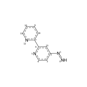 N=Nc1ccnc(-c2ccccn2)c1